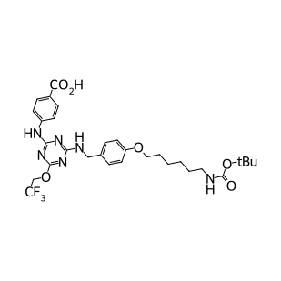 CC(C)(C)OC(=O)NCCCCCCOc1ccc(CNc2nc(Nc3ccc(C(=O)O)cc3)nc(OCC(F)(F)F)n2)cc1